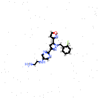 NCCNc1cnc(-c2cc(-c3ccon3)n(Cc3ccccc3F)n2)nc1